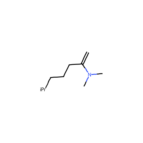 C=C(CCCC(C)C)N(C)C